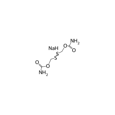 NC(=O)OCSSCOC(N)=O.[NaH]